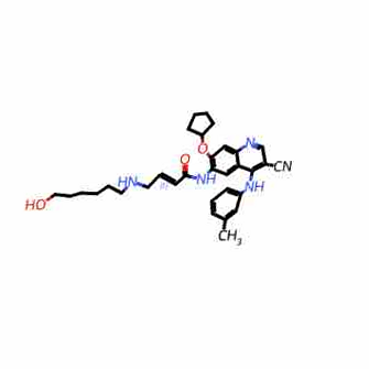 Cc1cccc(Nc2c(C#N)cnc3cc(OC4CCCC4)c(NC(=O)/C=C/CNCCCCCCO)cc23)c1